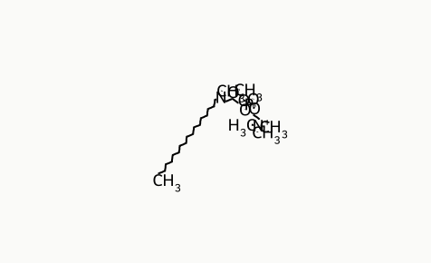 CCCCCCCCCCCCCCCCCCN(C)CC(COP(=O)([O-])OCC[N+](C)(C)C)OC